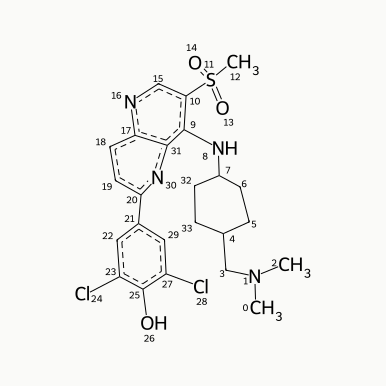 CN(C)CC1CCC(Nc2c(S(C)(=O)=O)cnc3ccc(-c4cc(Cl)c(O)c(Cl)c4)nc23)CC1